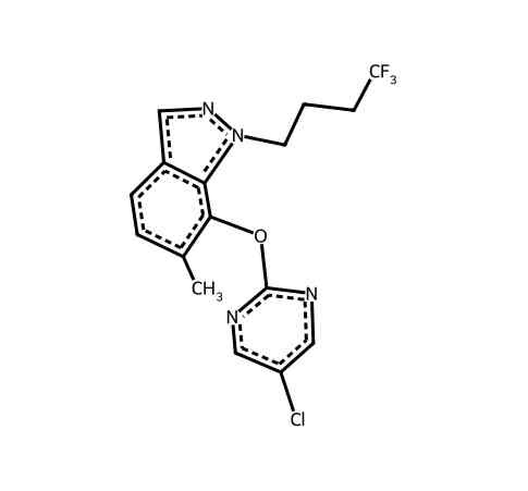 Cc1ccc2cnn(CCCC(F)(F)F)c2c1Oc1ncc(Cl)cn1